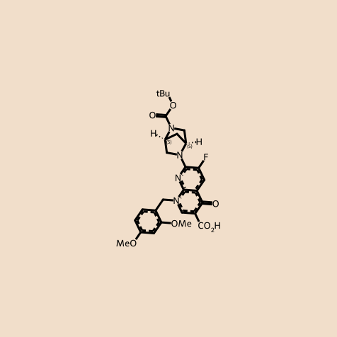 COc1ccc(Cn2cc(C(=O)O)c(=O)c3cc(F)c(N4C[C@@H]5C[C@H]4CN5C(=O)OC(C)(C)C)nc32)c(OC)c1